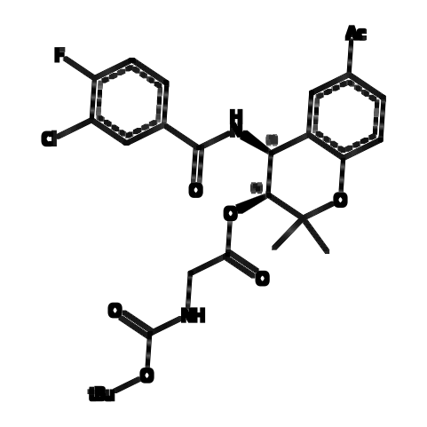 CC(=O)c1ccc2c(c1)[C@H](NC(=O)c1ccc(F)c(Cl)c1)[C@H](OC(=O)CNC(=O)OC(C)(C)C)C(C)(C)O2